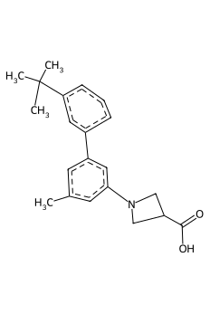 Cc1cc(-c2cccc(C(C)(C)C)c2)cc(N2CC(C(=O)O)C2)c1